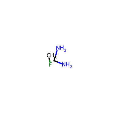 CF.NCN